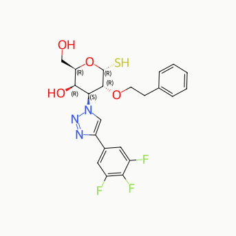 OC[C@H]1O[C@H](S)[C@H](OCCc2ccccc2)[C@@H](n2cc(-c3cc(F)c(F)c(F)c3)nn2)[C@H]1O